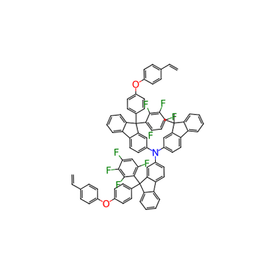 C=Cc1ccc(Oc2ccc(C3(c4c(F)cc(F)c(F)c4F)c4ccccc4-c4ccc(N(c5ccc6c(c5)C(C)(C)c5ccccc5-6)c5ccc6c(c5)C(c5ccc(Oc7ccc(C=C)cc7)cc5)(c5c(F)cc(F)c(F)c5F)c5ccccc5-6)cc43)cc2)cc1